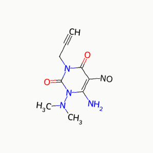 C#CCn1c(=O)c(N=O)c(N)n(N(C)C)c1=O